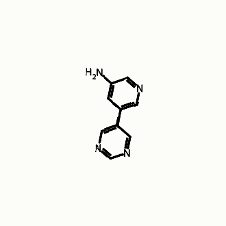 Nc1cncc(-c2cncnc2)c1